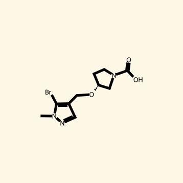 Cn1ncc(CO[C@@H]2CCN(C(=O)O)C2)c1Br